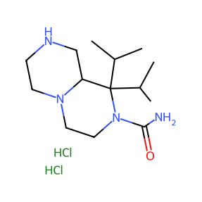 CC(C)C1(C(C)C)C2CNCCN2CCN1C(N)=O.Cl.Cl